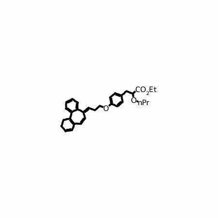 CCCOC(Cc1ccc(OCCC=C2C=CC3=C(CCC=C3)c3ccccc32)cc1)C(=O)OCC